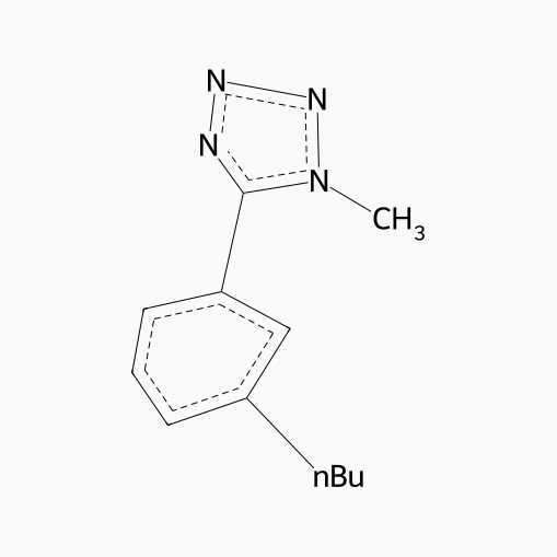 CCCCc1cccc(-c2nnnn2C)c1